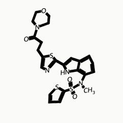 CN(c1cccc2cc(-c3ncc(CCC(=O)N4CCOCC4)s3)[nH]c12)S(=O)(=O)c1cccs1